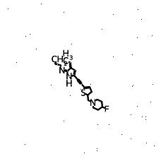 C=CC/N=C1/NC(C#CC2=CCC(CN3CCC(F)CC3)S2)=C/C1=C/C